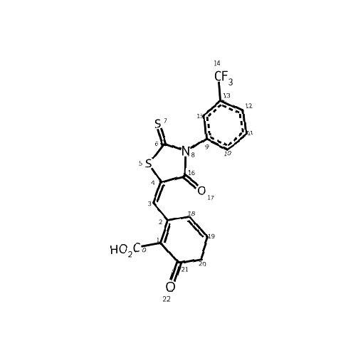 O=C(O)C1=C(C=C2SC(=S)N(c3cccc(C(F)(F)F)c3)C2=O)C=CCC1=O